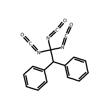 O=C=NC(N=C=O)(N=C=O)C(c1ccccc1)c1ccccc1